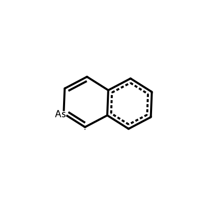 [C]1=[As]C=Cc2ccccc21